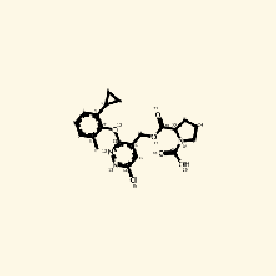 Cc1cccc(C2CC2)c1Oc1nnc(Cl)cc1COC(=O)C1CCCN1C(=O)O